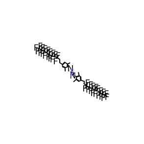 Cc1cc(CCC(F)(F)C(F)(F)C(F)(F)C(F)(F)C(F)(F)C(F)(F)C(F)(F)C(F)(F)F)cc(C)c1/N=C/C=N/c1c(C)cc(CCC(F)(F)C(F)(F)C(F)(F)C(F)(F)C(F)(F)C(F)(F)C(F)(F)C(F)(F)F)cc1C